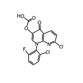 O=C(O)Oc1cn(-c2c(F)cccc2Cl)c2nc(Cl)ccc2c1=O